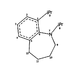 CC(C)c1cccc2c1N(C(C)C)CCCC2